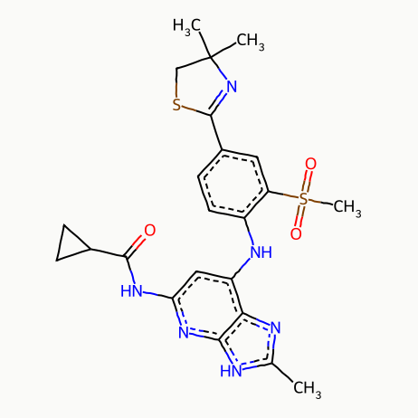 Cc1nc2c(Nc3ccc(C4=NC(C)(C)CS4)cc3S(C)(=O)=O)cc(NC(=O)C3CC3)nc2[nH]1